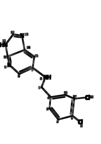 Clc1ccc(CNc2cnc3[nH]cnc3c2)cc1Cl